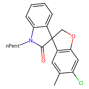 CCCCCN1C(=O)C2(COc3cc(Cl)c(C)cc32)c2ccccc21